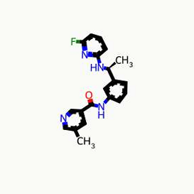 Cc1cncc(C(=O)Nc2cccc([C@H](C)Nc3cccc(F)n3)c2)c1